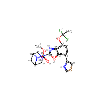 CC(=O)C(F)(F)Oc1ccc(-c2cscn2)c2oc(N3CC4CC(C3)N4C(=O)OC(C)(C)C)nc12